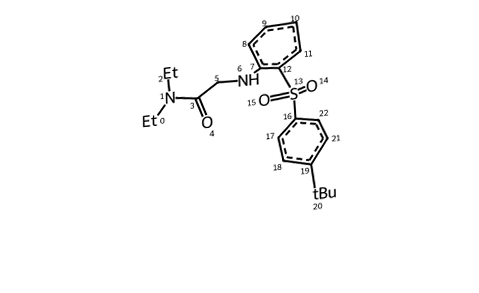 CCN(CC)C(=O)CNc1ccccc1S(=O)(=O)c1ccc(C(C)(C)C)cc1